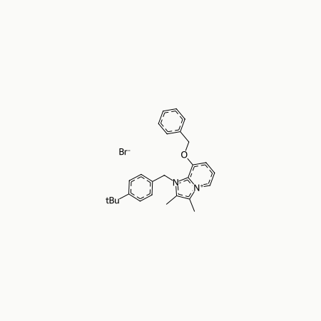 Cc1c(C)[n+]2cccc(OCc3ccccc3)c2n1Cc1ccc(C(C)(C)C)cc1.[Br-]